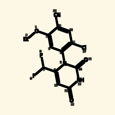 CCOc1cc(-n2c(C(F)F)cc(=O)[nH]c2=O)c(Cl)cc1C#N